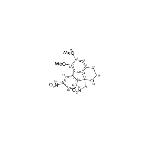 COc1cc2c(cc1OC)C(C[N+](=O)[O-])(c1ccc([N+](=O)[O-])cc1)OCC2